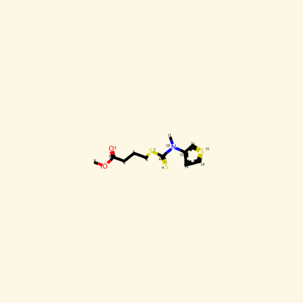 COC(=O)CCCSC(=S)N(C)c1ccsc1